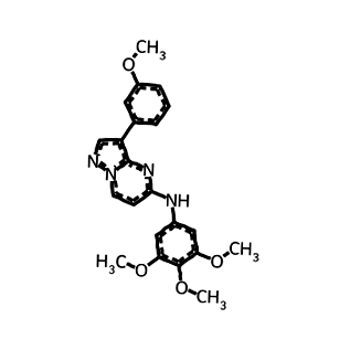 COc1cccc(-c2cnn3ccc(Nc4cc(OC)c(OC)c(OC)c4)nc23)c1